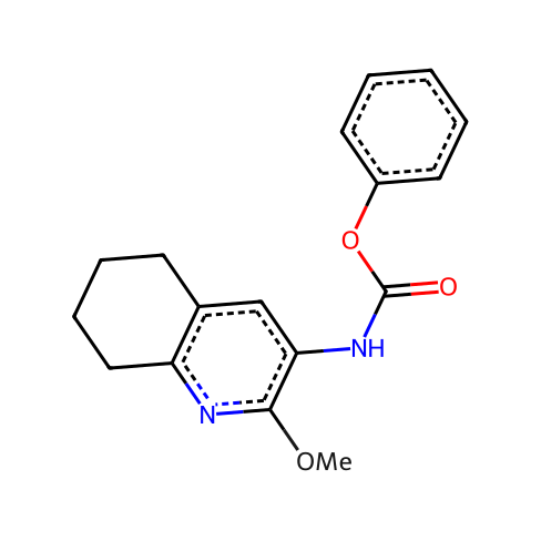 COc1nc2c(cc1NC(=O)Oc1ccccc1)CCCC2